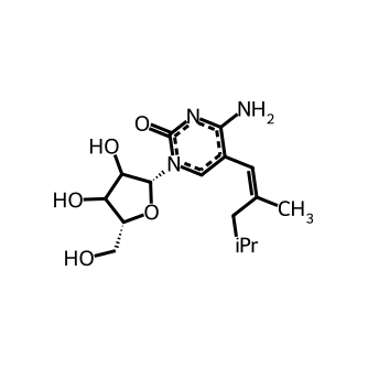 CC(=Cc1cn([C@@H]2O[C@H](CO)C(O)C2O)c(=O)nc1N)CC(C)C